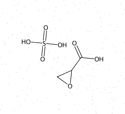 O=C(O)C1CO1.O=S(=O)(O)O